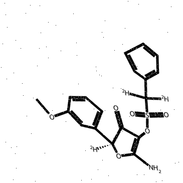 [2H]C([2H])(c1ccccc1)S(=O)(=O)OC1=C(N)O[C@@]([2H])(c2cccc(OC)c2)C1=O